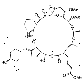 COC(=O)/C=C/C[C@@H]1/C=C(\C)C[C@H](C)C[C@H](OC)[C@H]2O[C@@](O)(C(=O)C(=O)N3CCCC[C@H]3C(=O)O[C@H](/C(C)=C/[C@H]3CC[C@H](O)CC3)[C@H](C)[C@@H](O)CC1=O)[C@H](C)C[C@@H]2OC